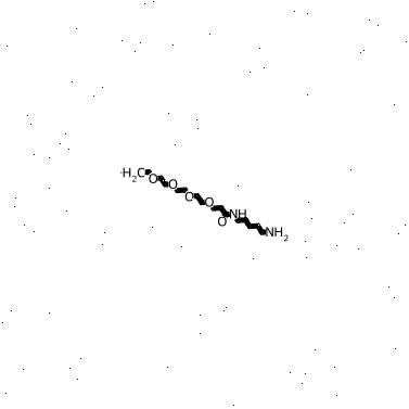 [CH2]COCCOCCOCCOCCC(=O)NCCCCCN